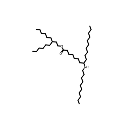 CCCCCCCCCCNC(CCCCCCCCCC)CCCCCCC(=O)OCCC(CCCCCC)CCCCCC